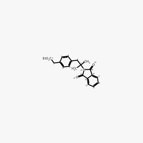 CCOC(=O)Cc1ccc(CC(C)(C)N2C(=O)c3ccccc3C2=O)cc1